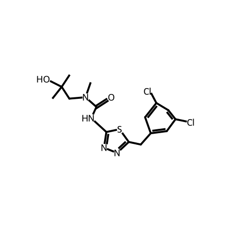 CN(CC(C)(C)O)C(=O)Nc1nnc(Cc2cc(Cl)cc(Cl)c2)s1